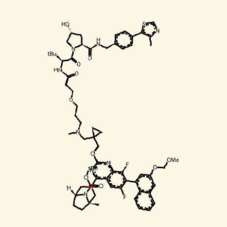 COCOc1cc(-c2c(F)cc3c(N4C[C@H]5CC[C@@](C)(C4)N5C(=O)OC(C)(C)C)nc(OCC4(CN(C)CCCOCCC(=O)N[C@H](C(=O)N5C[C@H](O)C[C@H]5C(=O)NCc5ccc(-c6scnc6C)cc5)C(C)(C)C)CC4)nc3c2F)c2ccccc2c1